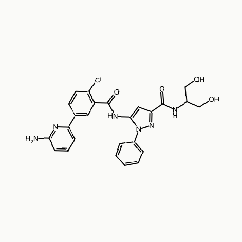 Nc1cccc(-c2ccc(Cl)c(C(=O)Nc3cc(C(=O)NC(CO)CO)nn3-c3ccccc3)c2)n1